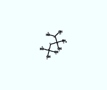 BC(O)(CC(O)(O)O)C(O)O